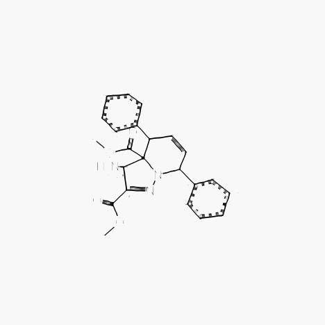 COC(=O)C1=NN2C(c3ccccc3)C=CC(c3ccccc3)C2(C(=O)OC)C1N